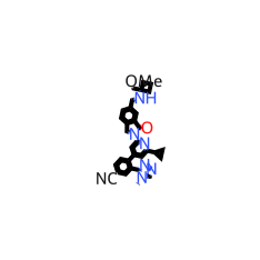 COCC1(NCc2ccc3c(c2)C(=O)N(c2cc(-c4ccc(C#N)cc4-c4nncn4C)cc(C4CC4)n2)C3)CCC1